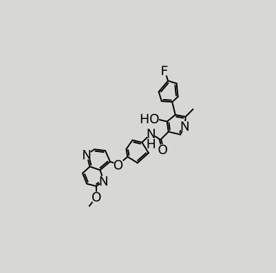 COc1ccc2nccc(Oc3ccc(NC(=O)c4cnc(C)c(-c5ccc(F)cc5)c4O)cc3)c2n1